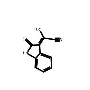 C/C(C#N)=C1\C(=O)Nc2ccccc21